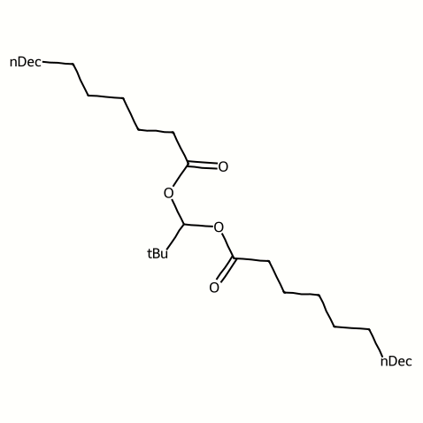 CCCCCCCCCCCCCCCC(=O)OC(OC(=O)CCCCCCCCCCCCCCC)C(C)(C)C